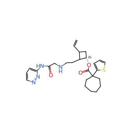 C=CC1C[C@H](OC(=O)C2(c3cccs3)CCCCCC2)C1CCNCC(=O)Nc1cccnn1